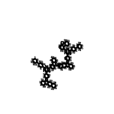 c1ccc(-c2ccc(-c3nc(-c4ccc(-n5c6ccccc6c6cc7ccccc7cc65)cc4)nc(-c4ccc5c(c4)-c4ccccc4[SH]5c4ccc5cc6c7ccccc7n(-c7ccc(-c8nc(-c9ccc(-c%10ccccc%10)cc9)nc(-c9cccc%10oc%11ccccc%11c9%10)n8)cc7)c6cc5c4)n3)cc2)cc1